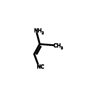 [C-]#[N+]/C=C(\C)N